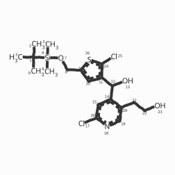 CC(C)(C)[Si](C)(C)OCc1cc(C(O)c2cc(Cl)ncc2CCO)c(Cl)s1